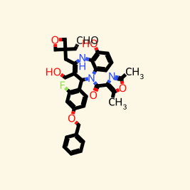 Cc1nc(C(=O)N2c3cccc(O)c3NC(CC3(CC=O)COC3)=C(CO)C2c2ccc(OCc3ccccc3)cc2F)c(C)o1